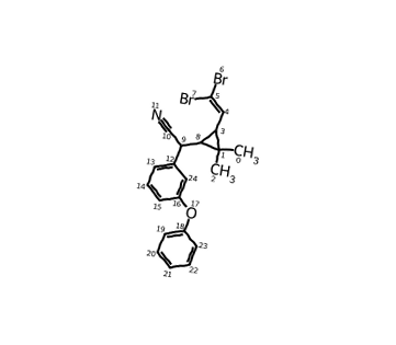 CC1(C)C(C=C(Br)Br)C1C(C#N)c1cccc(Oc2ccccc2)c1